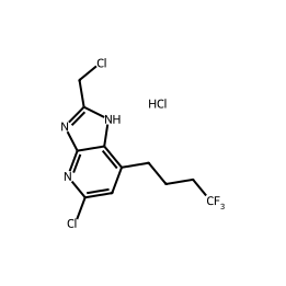 Cl.FC(F)(F)CCCc1cc(Cl)nc2nc(CCl)[nH]c12